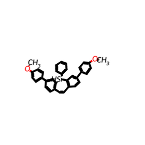 COc1ccc(-c2ccc3c(c2)[SiH](c2ccccc2)c2cc(-c4ccc(OC)cc4)ccc2C=C3)cc1